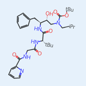 CC(C)CN(C[C@@H](O)[C@H](Cc1ccccc1)NC(=O)[C@@H](NC(=O)CNC(=O)c1ccccn1)C(C)(C)C)C(=O)OC(C)(C)C